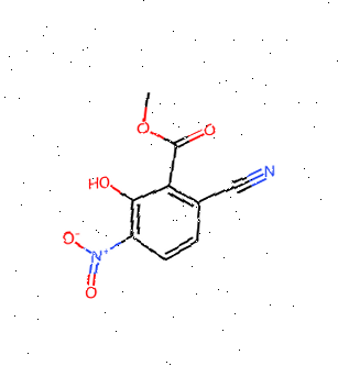 COC(=O)c1c(C#N)ccc([N+](=O)[O-])c1O